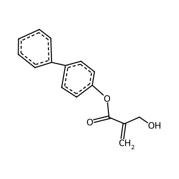 C=C(CO)C(=O)Oc1ccc(-c2ccccc2)cc1